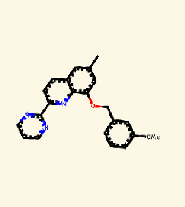 COc1cccc(COc2cc(C)cc3ccc(-c4ncccn4)nc23)c1